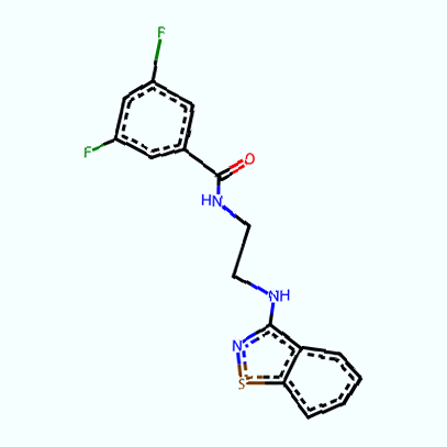 O=C(NCCNc1nsc2ccccc12)c1cc(F)cc(F)c1